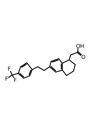 O=C(O)CC1CCCc2cc(CCc3ccc(C(F)(F)F)cc3)ccc21